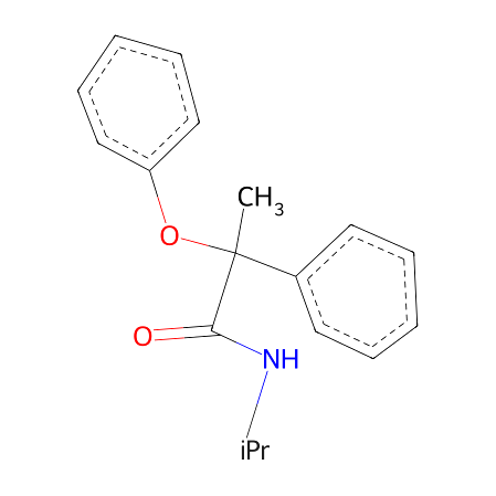 CC(C)NC(=O)C(C)(Oc1ccccc1)c1ccccc1